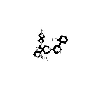 Cn1nccc1C1(C(=O)N2CC3(CNC3)C2)CCN(c2cnnc(-c3ccccc3O)c2)CC1